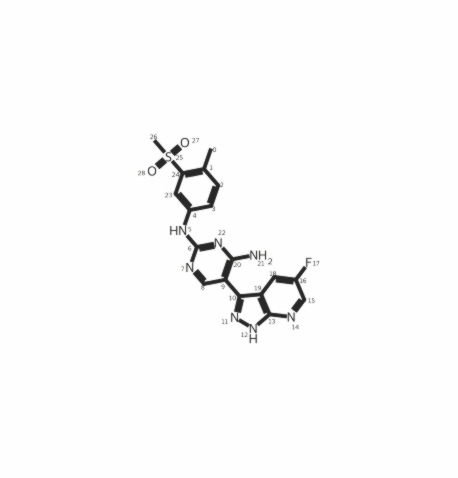 Cc1ccc(Nc2ncc(-c3n[nH]c4ncc(F)cc34)c(N)n2)cc1S(C)(=O)=O